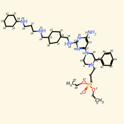 CCOP(=O)(CCCN1CCN(c2cc(N)nc(NCC3CCC(CNCCCNC4CCCCC4)CC3)n2)CC1c1ccccc1)OCC